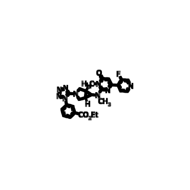 CCOC(=O)c1cccc(-n2nnnc2N2C[C@@H]3C(N(C)c4nc(-c5ccncc5F)cc(=O)n4C)[C@@H]3C2)c1